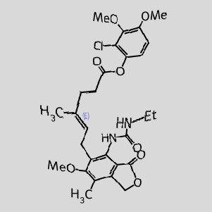 CCNC(=O)Nc1c(C/C=C(\C)CCC(=O)Oc2ccc(OC)c(OC)c2Cl)c(OC)c(C)c2c1C(=O)OC2